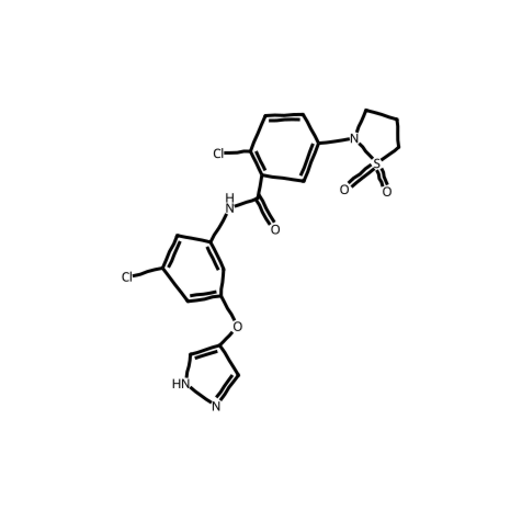 O=C(Nc1cc(Cl)cc(Oc2cn[nH]c2)c1)c1cc(N2CCCS2(=O)=O)ccc1Cl